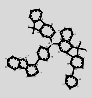 CC1(C)c2ccccc2-c2ccc(N(c3ccc(-c4cccc5c4oc4ccccc45)cc3)c3cc4c(c5ccccc35)C(C)(C)c3ccc(-c5ccccc5)cc3-4)cc21